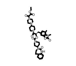 CCOC(=O)C(=O)N1CCN(C2CCN(C(=O)[C@@H](Cc3cc(C)c4c(c3)oc(=O)n4C)OC(=O)N3CCC(N4CCc5ccccc5NC4=O)CC3)CC2)CC1